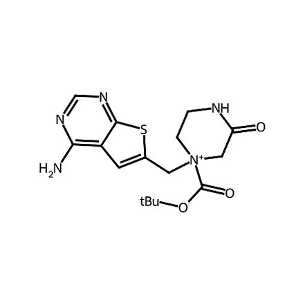 CC(C)(C)OC(=O)[N+]1(Cc2cc3c(N)ncnc3s2)CCNC(=O)C1